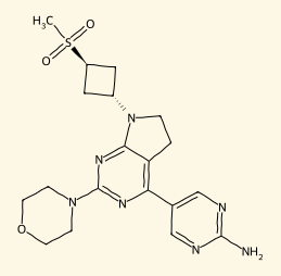 CS(=O)(=O)[C@H]1C[C@H](N2CCc3c(-c4cnc(N)nc4)nc(N4CCOCC4)nc32)C1